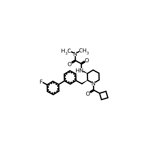 CN(C)C(=O)C(=O)N[C@H]1CCCN(C(=O)C2CCC2)[C@H]1Cc1cccc(-c2cccc(F)c2)c1